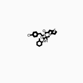 CC1CCCCC1NC(=O)C1(C)Cn2c(cc3sccc32)C(=O)N1CCc1ccc(Cl)cc1